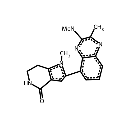 CNc1nc2c(-c3cc4c(n3C)CCNC4=O)cccc2nc1C